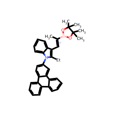 CCc1c(/C=C(\C)B2OC(C)(C)C(C)(C)O2)c2ccccc2n1-c1ccc2c3ccccc3c3ccccc3c2c1